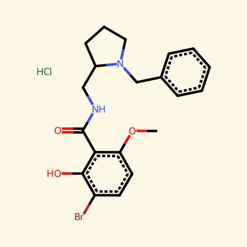 COc1ccc(Br)c(O)c1C(=O)NCC1CCCN1Cc1ccccc1.Cl